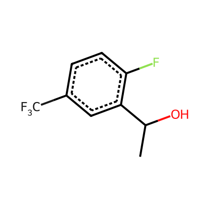 CC(O)c1cc(C(F)(F)F)ccc1F